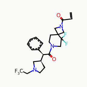 C=CC(=O)N1CC2(CCN(C(=O)[C@H](c3ccccc3)[C@H]3CCN(CC(F)(F)F)C3)CC2(F)F)C1